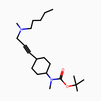 CCCCCN(C)CC#CC1CCC(N(C)C(=O)OC(C)(C)C)CC1